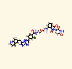 O=C1CCC(N2C(=O)c3cccc(NCCOCCNC(=O)c4ccc(-c5cnc6ncc(Cc7ccc8ncccc8c7)n6n5)cc4F)c3C2=O)C(=O)N1